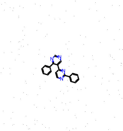 [c]1ncc(-c2ccnc(-c3ccccc3)n2)c(-c2ccccc2)n1